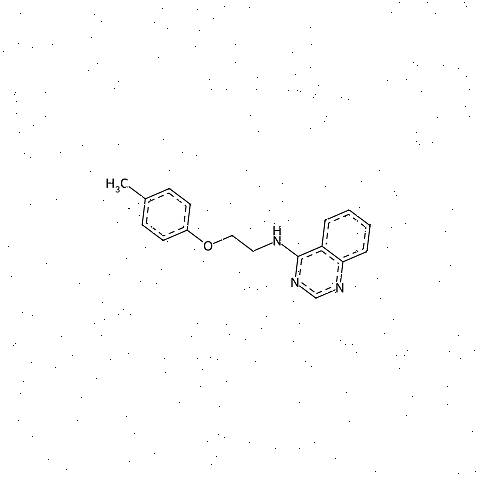 Cc1ccc(OCCNc2ncnc3ccccc23)cc1